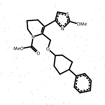 COC(=O)N1CCCC(c2csc(OC)n2)=C1COC1CCC(c2ccccc2)CC1